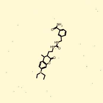 CCN(CC)c1ccc2c(c1)OC(=O)C(CCNC(=O)NCc1cccc(C(N)=O)c1)C2C